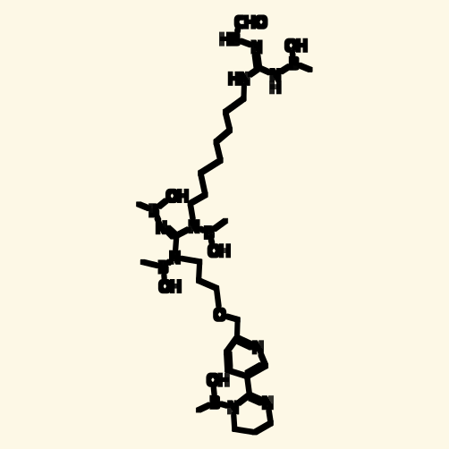 CB(O)/N=C(\N(CCCCCCCCN/C(=N\BC=O)NB(C)O)B(C)O)N(CCCOCc1ccc(C2=NCCCN2B(C)O)cn1)B(C)O